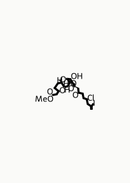 C=C(I)C[C@H](Cl)CCC(=O)C[C@@]12O[C@@H]3C(O[C@H]4CCC(CC(=O)OC)OC4[C@@H]3O1)[C@H]2O